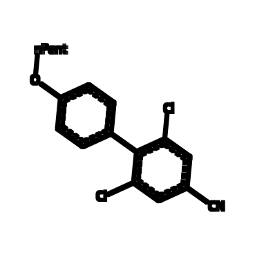 CCCCCOc1ccc(-c2c(Cl)cc(C#N)cc2Cl)cc1